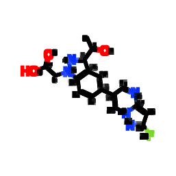 CC(=O)c1nn(CC(=O)O)c2ccc(-c3cnc4cc(F)nn4c3)cc12